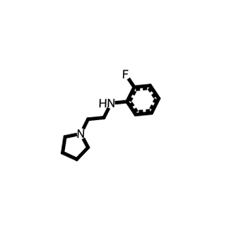 Fc1ccccc1NCCN1CCCC1